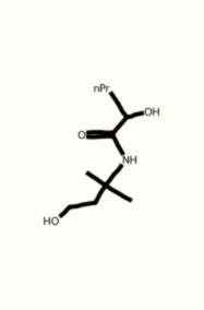 CCCC(O)C(=O)NC(C)(C)CCO